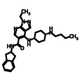 CCCCN[C@H]1CC[C@@H](Nc2c(C(=O)NC3Cc4ccccc4C3)cnc3c2cnn3CC)CC1